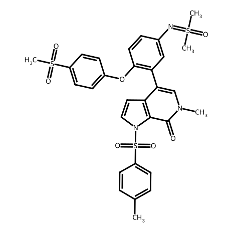 Cc1ccc(S(=O)(=O)n2ccc3c(-c4cc(N=S(C)(C)=O)ccc4Oc4ccc(S(C)(=O)=O)cc4)cn(C)c(=O)c32)cc1